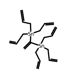 C=C[CH2][Sn]([CH2]C=C)([CH2]C=C)[C](=C)[Sn]([CH2]C=C)([CH2]C=C)[CH2]C=C